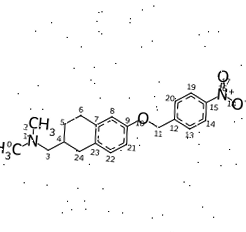 CN(C)CC1CCc2cc(OCc3ccc([N+](=O)[O-])cc3)ccc2C1